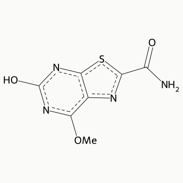 COc1nc(O)nc2sc(C(N)=O)nc12